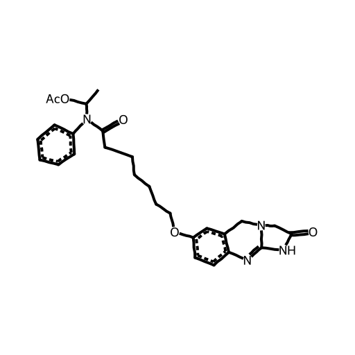 CC(=O)OC(C)N(C(=O)CCCCCCOc1ccc2c(c1)CN1CC(=O)NC1=N2)c1ccccc1